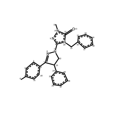 Cc1ccc(C2=NN(c3nn(C)c(=O)n3Cc3ccccc3)CC2c2ccccc2)cc1